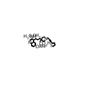 COc1ccc2ncc(N(C)C)c([C@H](F)CCC3(CC(=O)O)CCN(CC#Cc4cccs4)CC3)c2c1